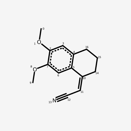 COc1cc2c(cc1OC)/C(=C\C#N)CCC2